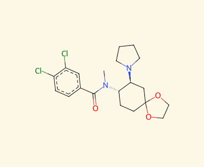 CN(C(=O)c1ccc(Cl)c(Cl)c1)[C@H]1CCC2(C[C@@H]1N1CCCC1)OCCO2